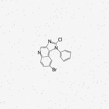 Clc1nc2cnc3ccc(Br)cc3c2n1-c1ccccc1